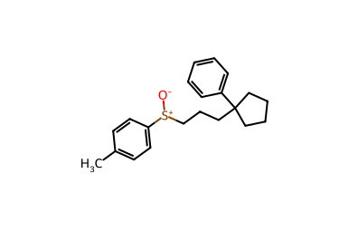 Cc1ccc([S+]([O-])CCCC2(c3ccccc3)CCCC2)cc1